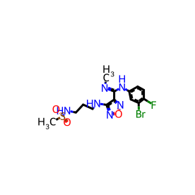 C/N=C(\Nc1ccc(F)c(Br)c1)c1nonc1NCCCNS(C)(=O)=O